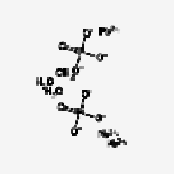 O.O.O.O=P([O-])([O-])[O-].O=P([O-])([O-])[O-].[Pb+2].[Pb+2].[Pb+2]